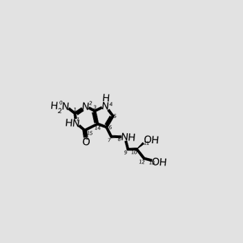 Nc1nc2[nH]cc(CNC[C@@H](O)CO)c2c(=O)[nH]1